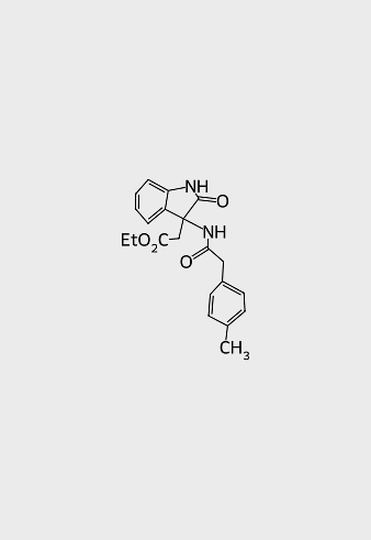 CCOC(=O)CC1(NC(=O)Cc2ccc(C)cc2)C(=O)Nc2ccccc21